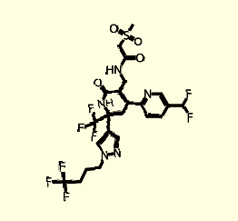 CS(=O)(=O)CC(=O)NCC1=C(c2ccc(C(F)F)cn2)CC(c2cnn(CCCC(F)(F)F)c2)(C(F)(F)F)NC1=O